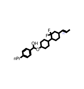 C/C=C/C1CCC(C2CCC(OC(O)c3ccc(CCC)cc3)CC2)C(F)(F)C1